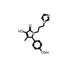 COc1ccc(C2C(C)=C(O)C(=O)N2CCCn2ccnc2)cc1